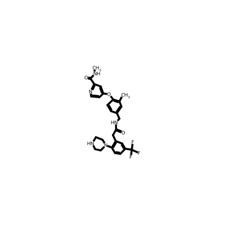 CNC(=O)c1cc(Oc2ccc(CNC(=O)Cc3cc(C(F)(F)F)ccc3N3CCNCC3)cc2C)ccn1